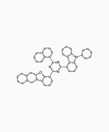 c1ccc(-n2c3ccccc3c3c(-c4nc(-c5cccc6ccccc56)nc(-c5cccc6c5oc5cc7ccccc7cc56)n4)cccc32)cc1